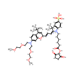 COCCOCCN(CCOCCOC)c1ccc2c(c1)OC(/C=C/C=C1/N(CCCCCC(=O)OC3C(=O)CCC3=O)c3ccc(S(=O)(=O)O)cc3C1(C)C)C=C2C(C)(C)C